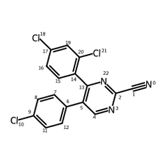 N#Cc1ncc(-c2ccc(Cl)cc2)c(-c2ccc(Cl)cc2Cl)n1